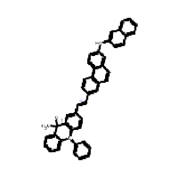 CC1(C)c2ccccc2N(c2ccccc2)c2ccc(/C=C/c3ccc4c(ccc5cc(Nc6ccc7ccccc7c6)ccc54)c3)cc21